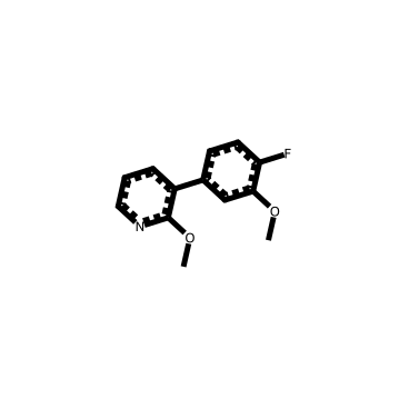 COc1cc(-c2cccnc2OC)ccc1F